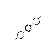 C[C@H]1CC[C@H](c2ccc([C@H]3CC[C@H](C)CC3)cc2)CC1